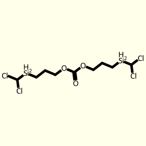 O=C(OCCC[SiH2]C(Cl)Cl)OCCC[SiH2]C(Cl)Cl